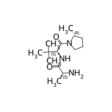 C[C@H](N)C(=O)N[C@H](C(=O)N1CCC[C@H]1C)C(C)(C)C